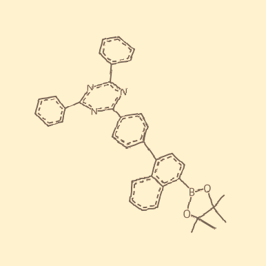 CC1(C)OB(c2ccc(-c3ccc(-c4nc(-c5ccccc5)nc(-c5ccccc5)n4)cc3)c3ccccc23)OC1(C)C